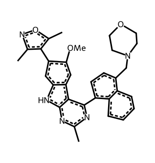 COc1cc2c(cc1-c1c(C)noc1C)[nH]c1nc(C)nc(-c3ccc(CN4CCOCC4)c4ccccc34)c12